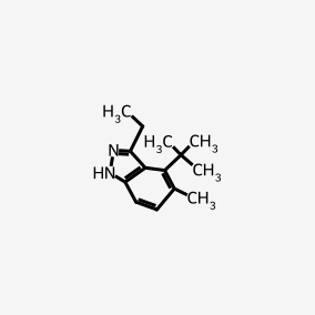 CCc1n[nH]c2ccc(C)c(C(C)(C)C)c12